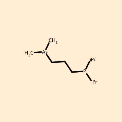 CC(C)P(CCC[As](C)C)C(C)C